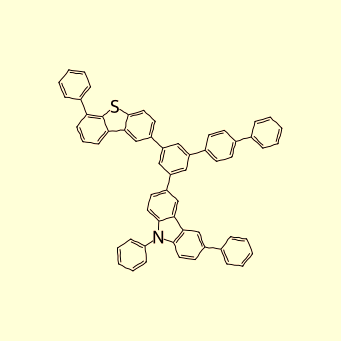 c1ccc(-c2ccc(-c3cc(-c4ccc5sc6c(-c7ccccc7)cccc6c5c4)cc(-c4ccc5c(c4)c4cc(-c6ccccc6)ccc4n5-c4ccccc4)c3)cc2)cc1